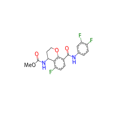 COC(=O)NC1CCOc2c(C(=O)Nc3ccc(F)c(F)c3)ccc(F)c21